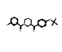 CC(C)(C)Oc1ccc(C(=O)C2CCCN(C(=O)c3cccc(F)c3)C2)cc1